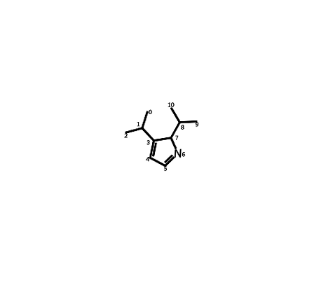 CC(C)C1=CC=NC1C(C)C